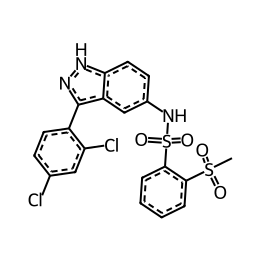 CS(=O)(=O)c1ccccc1S(=O)(=O)Nc1ccc2[nH]nc(-c3ccc(Cl)cc3Cl)c2c1